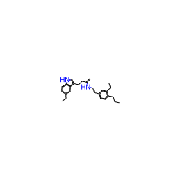 C=C(CCc1c[nH]c2ccc(CC)cc12)NCCc1ccc(CCC)c(CC)c1